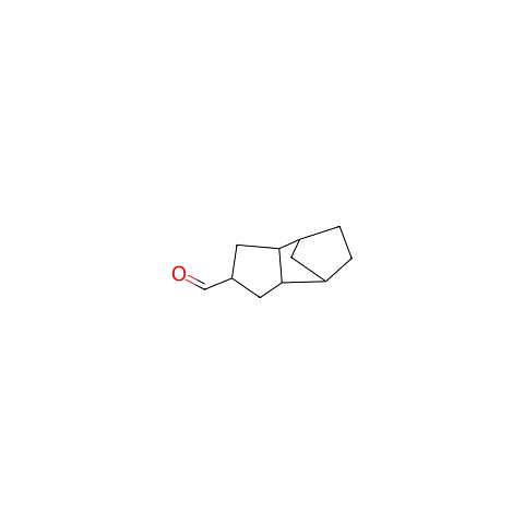 O=CC1CC2C3CCC(C3)C2C1